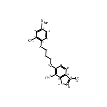 CCCc1c(OCCCSc2ccc(OC(C)=O)cc2Cl)ccc2c(CC)nsc12